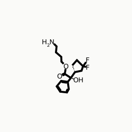 NCCCCOC(=O)[C@](O)(c1ccccc1)[C@@H]1CCC(F)(F)C1